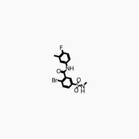 CNS(=O)(=O)c1ccc(Br)c(C(=O)Nc2ccc(F)c(C)c2)c1